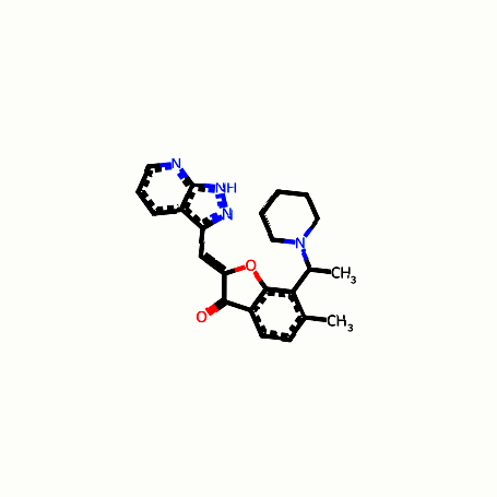 Cc1ccc2c(c1C(C)N1CCCCC1)O/C(=C\c1n[nH]c3ncccc13)C2=O